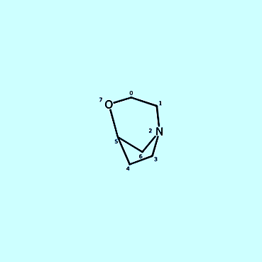 C1CN2CCC(C2)O1